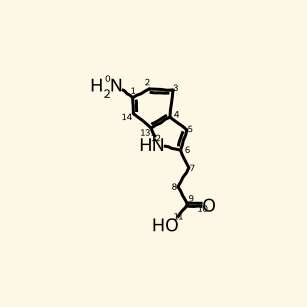 Nc1ccc2cc(CCC(=O)O)[nH]c2c1